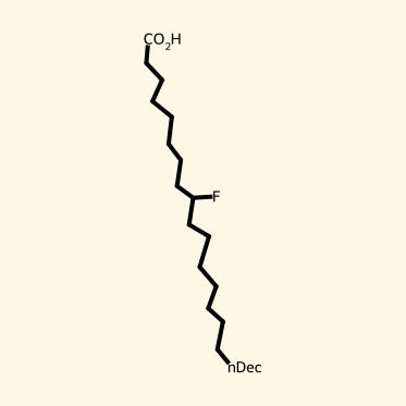 CCCCCCCCCCCCCCCCCC(F)CCCCCCCC(=O)O